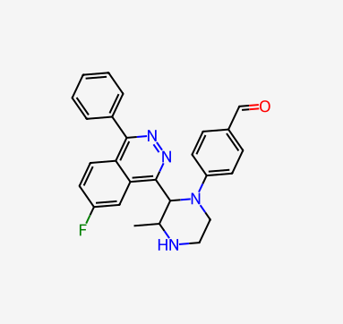 CC1NCCN(c2ccc(C=O)cc2)C1c1nnc(-c2ccccc2)c2ccc(F)cc12